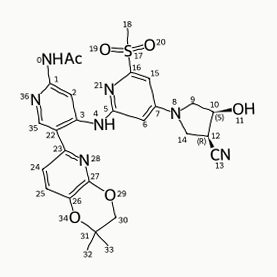 CC(=O)Nc1cc(Nc2cc(N3C[C@@H](O)[C@@H](C#N)C3)cc(S(C)(=O)=O)n2)c(-c2ccc3c(n2)OCC(C)(C)O3)cn1